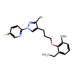 COc1cccc(CC(=O)O)c1OCCCc1cn(-c2ccc(F)cn2)nc1C(C)C